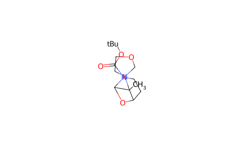 CC(C)(C)OC(=O)N1CCC2OC1C2(C)N1CCOC1